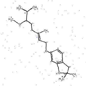 COC(CC/C(C)=C/COc1ccc2c(c1)OC(C)(C)C2)C(C)C